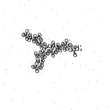 O=P([O][Mo](=[O])(=[O])[O][Mo](=[O])(=[O])[O][Mo](=[O])(=[O])[O][Mo](=[O])(=[O])[O-])([O][Mo](=[O])(=[O])[O][Mo](=[O])(=[O])[O][Mo](=[O])(=[O])[O][Mo](=[O])(=[O])[O-])[O][Mo](=[O])(=[O])[O][Mo](=[O])(=[O])[O][Mo](=[O])(=[O])[O][Mo](=[O])(=[O])[O-].[NH4+].[O]=[V](=[O])[O-]